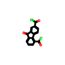 O=C(Cl)c1ccc2c(c1)C(=O)c1cccc(C(=O)Cl)c1-2